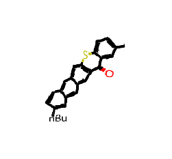 CCCCc1ccc2cc3cc4sc5ccc(C)cc5c(=O)c4cc3cc2c1